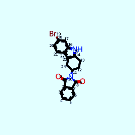 O=C1c2ccccc2C(=O)N1C1CCc2[nH]c3cc(Br)ccc3c2C1